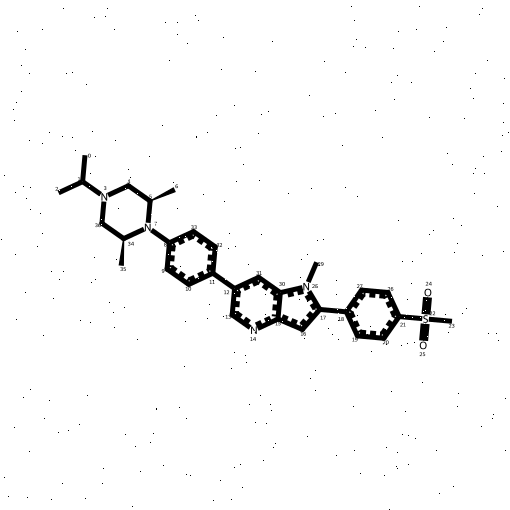 CC(C)N1C[C@@H](C)N(c2ccc(-c3cnc4cc(-c5ccc(S(C)(=O)=O)cc5)n(C)c4c3)cc2)[C@@H](C)C1